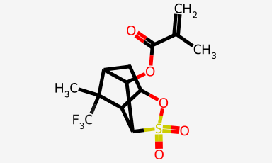 C=C(C)C(=O)OC1C2CC3OS(=O)(=O)C1C3C2(C)C(F)(F)F